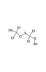 CCC(S)(CC)OSC(CC)(CC)OS